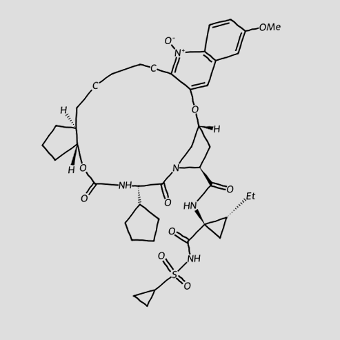 CC[C@@H]1C[C@]1(NC(=O)[C@@H]1C[C@@H]2CN1C(=O)[C@H](C1CCCC1)NC(=O)O[C@@H]1CCC[C@H]1CCCCCc1c(cc3cc(OC)ccc3[n+]1[O-])O2)C(=O)NS(=O)(=O)C1CC1